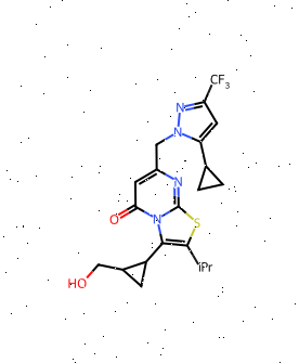 CC(C)c1sc2nc(Cn3nc(C(F)(F)F)cc3C3CC3)cc(=O)n2c1C1CC1CO